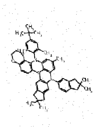 Cc1cc2c3c(c1)N(c1c(C)cc(C(C)(C)C)cc1C)c1c(ccc4c1OCCO4)B3c1cc3c(cc1N2c1ccc2c(c1)CC(C)(C)C2)CC(C)(C)C3